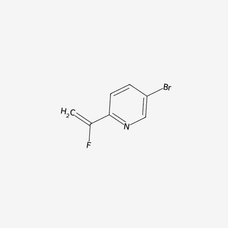 C=C(F)c1ccc(Br)cn1